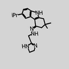 CC(C)c1ccc2[nH]c3c(c2c1)C(=NNCC1=NCCN1)CC(C)(C)C3